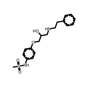 CS(=O)(=O)Nc1ccc(OCC(O)CNCCc2ccccc2)cc1